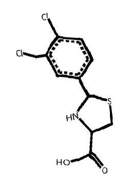 O=C(O)C1CSC(c2ccc(Cl)c(Cl)c2)N1